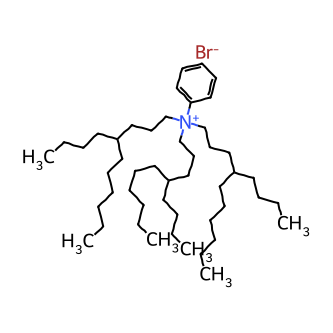 CCCCCCC(CCCC)CCC[N+](CCCC(CCCC)CCCCCC)(CCCC(CCCC)CCCCCC)c1ccccc1.[Br-]